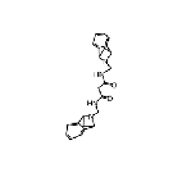 O=C(CC(=O)NCN1C2CC1c1ccccc12)NCN1C2CC1c1ccccc12